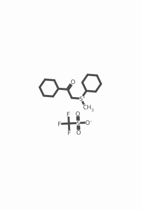 C[S+](CC(=O)C1CCCCC1)C1CCCCC1.O=S(=O)([O-])C(F)(F)F